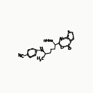 CCCCCCC(CCCC(C)Nc1ccc(C#N)cc1)c1nc2sccc2c(=O)o1